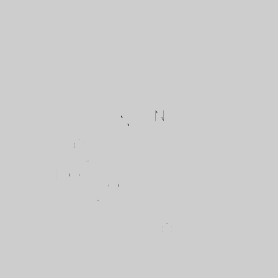 Cc1ccc(Cn2ccc3c(-c4ccc5c(c4)CCCO5)c(C(OC(C)(C)C)C(=O)O)c(C)nc32)cc1C